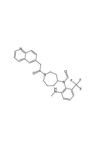 CNc1cccc(C(F)(F)F)c1N(C=O)C1CCCN(C(=O)Cc2ccc3ncccc3c2)CC1